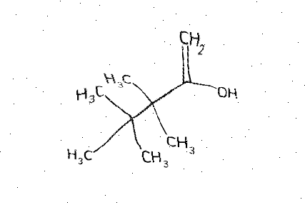 C=C(O)C(C)(C)C(C)(C)C